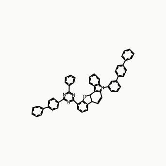 C1=CC2c3cccc(-c4nc(-c5ccccc5)nc(-c5ccc(-c6ccccc6)cc5)n4)c3OC2c2c1n(-c1cccc(-c3ccc(-c4ccccc4)cc3)c1)c1ccccc21